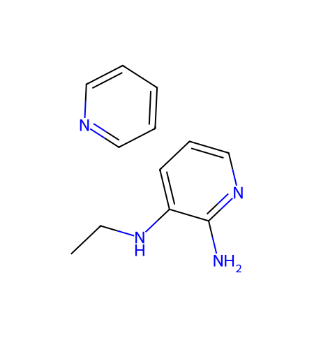 CCNc1cccnc1N.c1ccncc1